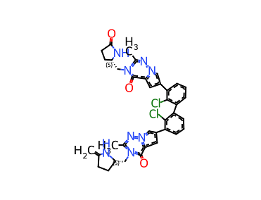 C=C1CC[C@@H](Cn2c(C)nn3cc(-c4cccc(-c5cccc(-c6cc7c(=O)n(C[C@@H]8CCC(=O)N8)c(C)nn7c6)c5Cl)c4Cl)cc3c2=O)N1